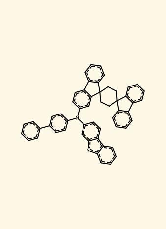 c1ccc(-c2ccc(N(c3ccc4c(c3)C3(CCC5(CC3)c3ccccc3-c3ccccc35)c3ccccc3-4)c3ccc4c(c3)sc3ccccc34)cc2)cc1